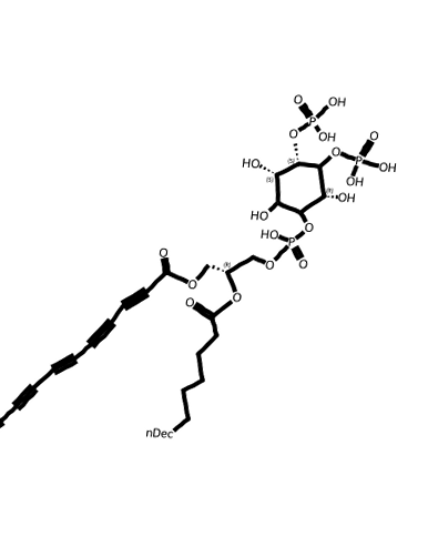 CC#CC#CC#CC#CC#CC(=O)OC[C@H](COP(=O)(O)OC1C(O)[C@H](O)[C@H](OP(=O)(O)O)C(OP(=O)(O)O)[C@@H]1O)OC(=O)CCCCCCCCCCCCCCC